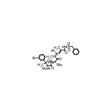 CN[C@H](C(=O)N[C@H](C(=O)N(C)[C@H](/C=C(\C)C(=O)NS(=O)(=O)Cc1ccccc1)C(C)C)C(C)(C)C)C(C)(C)c1cccc(Br)c1